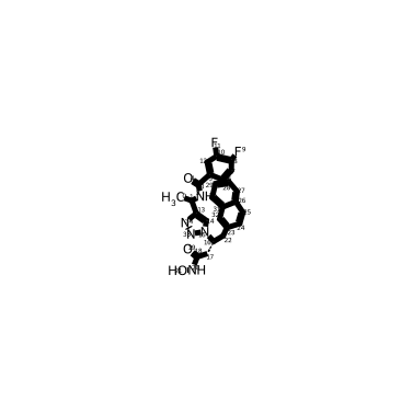 CC(NC(=O)c1ccc(F)c(F)c1)c1cn([C@@H](CC(=O)NO)Cc2ccc3ccccc3c2)nn1